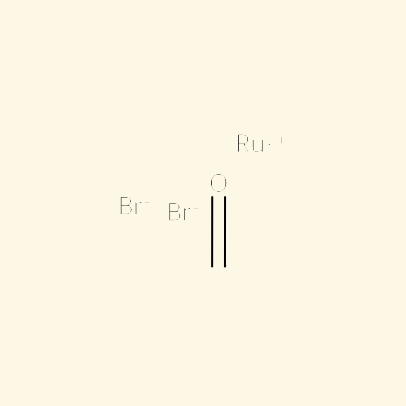 [Br-].[Br-].[C]=O.[Ru+2]